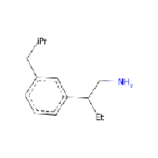 CCC(CN)c1cccc(CC(C)C)c1